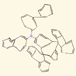 c1ccc(-c2cccc(N(c3ccc4c(c3)C3(c5ccccc5-c5ccccc53)c3ccccc3C43c4ccccc4-c4ccccc43)c3ccc4ccccc4c3)c2)cc1